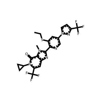 CCSc1cc(-n2ccc(C(F)(F)F)n2)cnc1-c1nc2cc(C(F)(F)F)n(C3CC3)c(=O)c2n1C